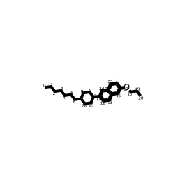 CCCCCCCC1CCC(c2ccc3cc(OCCC)ccc3c2)CC1